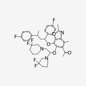 CC(=O)c1c(OC(CN2CCCC(F)(F)C2)N2CCCC(F)(F)C2)c(OC(CC(C)c2ccc(F)cc2)c2ccc(F)cc2)c2oc(C)nc2c1C